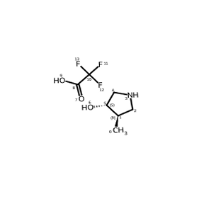 C[C@@H]1CNC[C@H]1O.O=C(O)C(F)(F)F